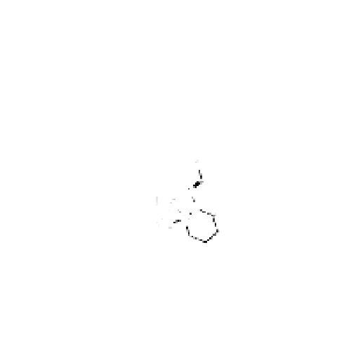 CC(=O)C=NN1CCCC[Si]1(C)C